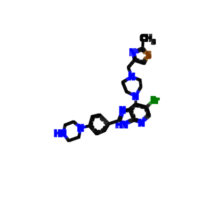 Cc1nc(CN2CCN(c3c(Br)cnc4[nH]c(-c5ccc(N6CCNCC6)cc5)nc34)CC2)cs1